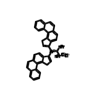 CCC[C](CCC)=[Zr+2]([C]1=CCc2c1ccc1ccc3ccccc3c21)[C]1=CCc2c1ccc1ccc3ccccc3c21.[Cl-].[Cl-]